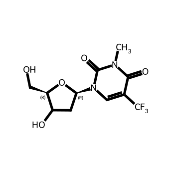 Cn1c(=O)c(C(F)(F)F)cn([C@H]2CC(O)[C@@H](CO)O2)c1=O